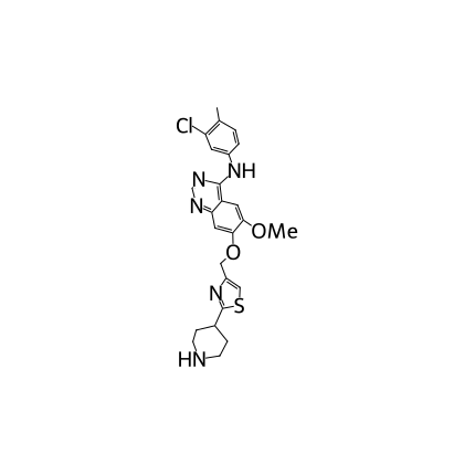 COc1cc2c(Nc3ccc(C)c(Cl)c3)ncnc2cc1OCc1csc(C2CCNCC2)n1